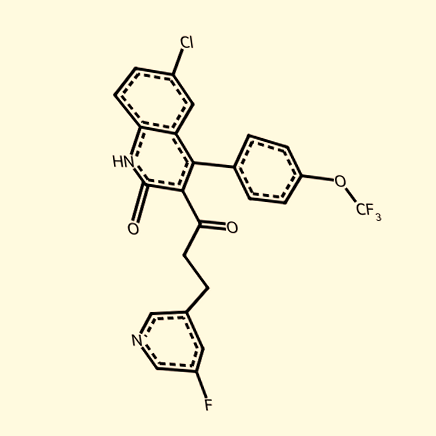 O=C(CCc1cncc(F)c1)c1c(-c2ccc(OC(F)(F)F)cc2)c2cc(Cl)ccc2[nH]c1=O